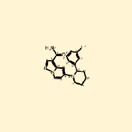 NC(=O)c1cnn2ccc(N3CCCCC3c3cccc(F)c3)cc12